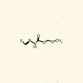 COCOC(=O)NN=CF